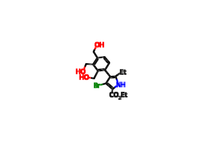 CCOC(=O)c1[nH]c(CC)c(-c2ccc(CO)c(CO)c2CO)c1Br